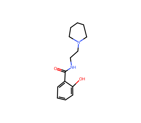 O=C(NCCN1CCCCC1)c1ccccc1O